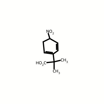 CC(C)(C(=O)O)C1=CCC([N+](=O)[O-])C=C1